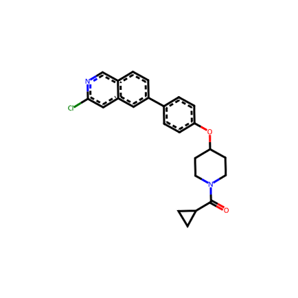 O=C(C1CC1)N1CCC(Oc2ccc(-c3ccc4cnc(Cl)cc4c3)cc2)CC1